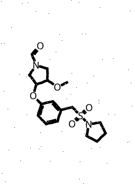 COC1CN(C=O)CC1Oc1cccc(CS(=O)(=O)N2CCCC2)c1